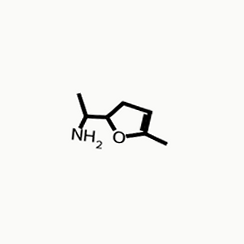 CC1=CCC(C(C)N)O1